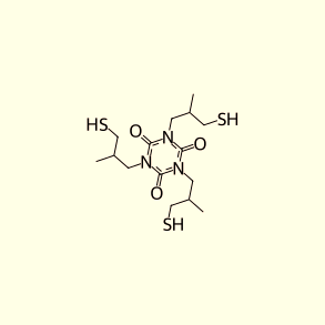 CC(CS)Cn1c(=O)n(CC(C)CS)c(=O)n(CC(C)CS)c1=O